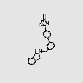 c1cc(CNC2Cc3ccccc3C2)cc(-c2ccc(-c3nc[nH]n3)cc2)c1